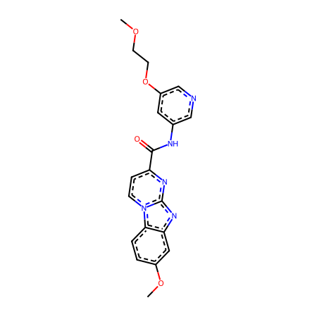 COCCOc1cncc(NC(=O)c2ccn3c(n2)nc2cc(OC)ccc23)c1